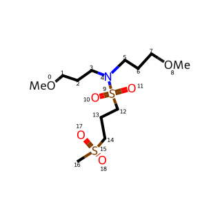 COCCCN(CCCOC)S(=O)(=O)CCCS(C)(=O)=O